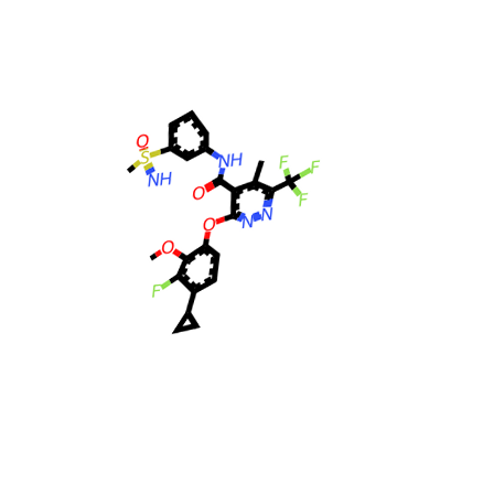 COc1c(Oc2nnc(C(F)(F)F)c(C)c2C(=O)Nc2cccc(S(C)(=N)=O)c2)ccc(C2CC2)c1F